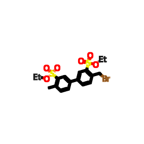 CCOS(=O)(=O)c1cc(-c2ccc(CBr)c(S(=O)(=O)OCC)c2)ccc1C